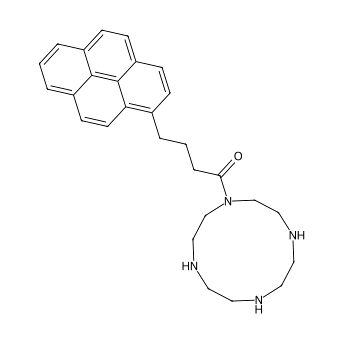 O=C(CCCc1ccc2ccc3cccc4ccc1c2c34)N1CCNCCNCCNCC1